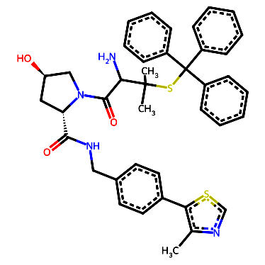 Cc1ncsc1-c1ccc(CNC(=O)[C@@H]2C[C@@H](O)CN2C(=O)C(N)C(C)(C)SC(c2ccccc2)(c2ccccc2)c2ccccc2)cc1